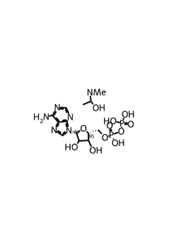 CNC(C)O.Nc1ncnc2c1ncn2[C@@H]1O[C@H](COP(=O)(O)OP(=O)(O)O)C(O)C1O